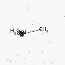 C=CC(=O)NOS(=O)(=O)CCCCCCCCCCCCCCCCCC